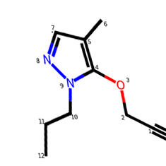 C#CCOc1c(C)[c]nn1CCC